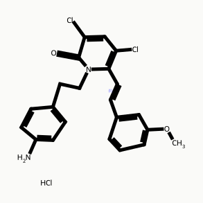 COc1cccc(/C=C/c2c(Cl)cc(Cl)c(=O)n2CCc2ccc(N)cc2)c1.Cl